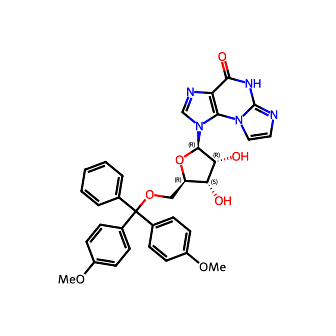 COc1ccc(C(OC[C@H]2O[C@@H](n3cnc4c(=O)[nH]c5nccn5c43)[C@H](O)[C@@H]2O)(c2ccccc2)c2ccc(OC)cc2)cc1